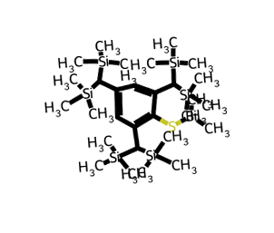 [CH3][Bi]([CH3])[S]c1c(C([Si](C)(C)C)[Si](C)(C)C)cc(C([Si](C)(C)C)[Si](C)(C)C)cc1C([Si](C)(C)C)[Si](C)(C)C